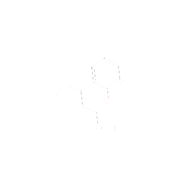 O=[S+]C1CC(C(=O)O)Oc2c(F)cccc21